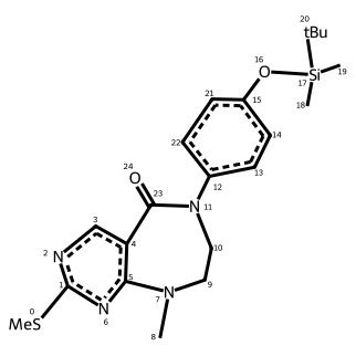 CSc1ncc2c(n1)N(C)CCN(c1ccc(O[Si](C)(C)C(C)(C)C)cc1)C2=O